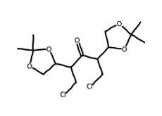 CC1(C)OCC(C(CCl)C(=O)C(CCl)C2COC(C)(C)O2)O1